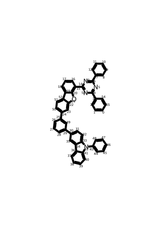 c1ccc(-c2nc(-c3ccccc3)nc(-c3cccc4c3oc3cc(-c5cccc(-c6ccc7c(c6)c6ccccc6n7-c6ccccc6)c5)ccc34)n2)cc1